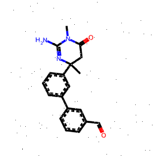 CN1C(=O)CC(C)(c2cccc(-c3cccc(C=O)c3)c2)N=C1N